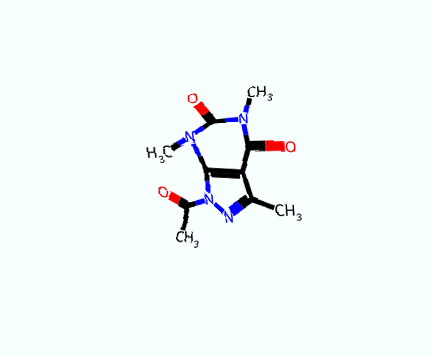 CC(=O)n1nc(C)c2c(=O)n(C)c(=O)n(C)c21